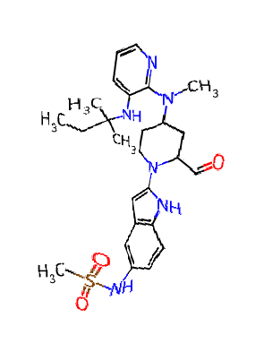 CCC(C)(C)Nc1cccnc1N(C)C1CCN(c2cc3cc(NS(C)(=O)=O)ccc3[nH]2)C(C=O)C1